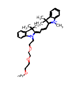 CCCOCCOCCOCCN1/C(=C/C=C/C2=[N+](C)c3ccccc3C2(C)C)C(C)(C)c2ccccc21